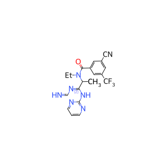 CCN(C(=O)c1cc(C#N)cc(C(F)(F)F)c1)C(C)/C(=N/C=N)Nc1ncccn1